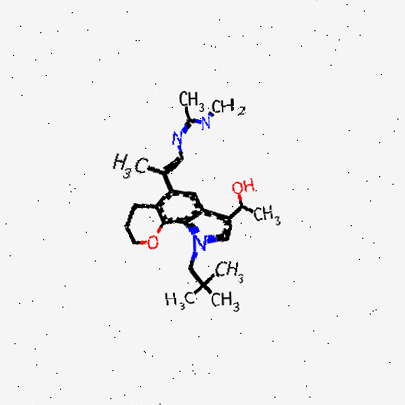 C=N/C(C)=N\C=C(/C)c1cc2c(C(C)O)cn(CC(C)(C)C)c2c2c1CCCO2